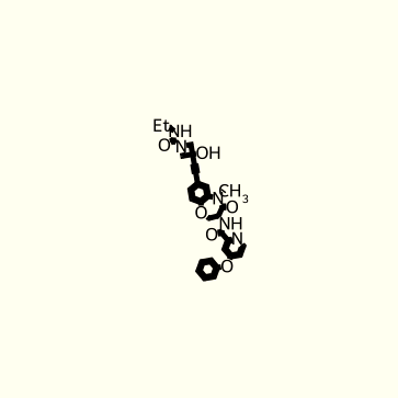 CCNC(=O)N1CC(O)(C#Cc2ccc3c(c2)N(C)C(=O)C(NC(=O)c2cc(Oc4ccccc4)ccn2)CO3)C1